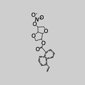 C=Cc1cccc2c(C(=O)OC3COC4C(O[N+](=O)[O-])COC34)cccc12